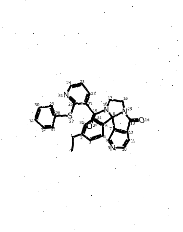 CCc1ccc(C23c4cnccc4C(=O)N2CCN3C(=O)c2cccnc2Sc2ccccc2)cc1